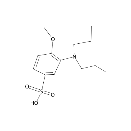 CCCN(CCC)c1cc(S(=O)(=O)O)ccc1OC